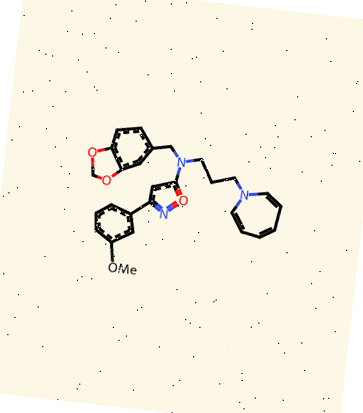 COc1cccc(-c2cc(N(CCCN3C=CC=CC=C3)Cc3ccc4c(c3)OCO4)on2)c1